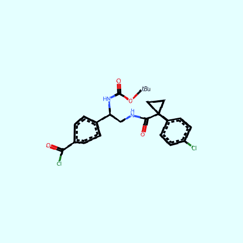 CC(C)(C)OC(=O)NC(CNC(=O)C1(c2ccc(Cl)cc2)CC1)c1ccc(C(=O)Cl)cc1